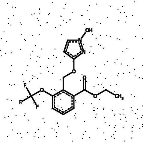 CCOC(=O)c1cccc(OC(F)(F)F)c1COc1ccn(O)n1